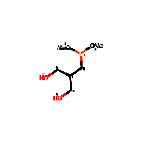 COP(CC(CO)CO)OC